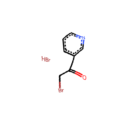 Br.O=C(CBr)c1cccnc1